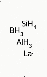 B.[AlH3].[La].[SiH4]